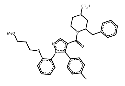 COCCCOc1ccccc1-n1ncc(C(=O)N2CCN(C(=O)O)CC2Cc2ccccc2)c1-c1ccc(F)cc1